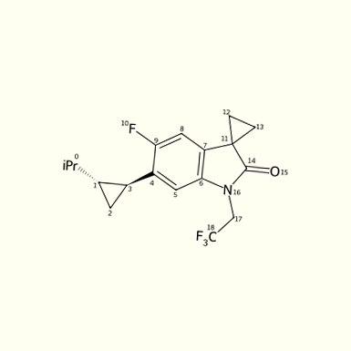 CC(C)[C@H]1C[C@@H]1c1cc2c(cc1F)C1(CC1)C(=O)N2CC(F)(F)F